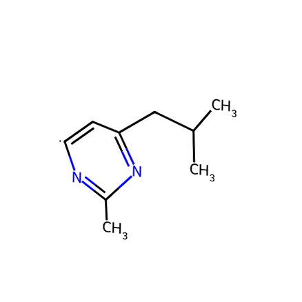 Cc1n[c]cc(CC(C)C)n1